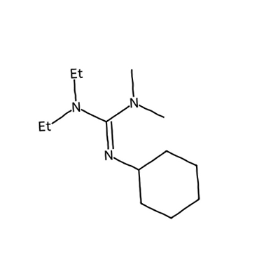 CCN(CC)C(=NC1CCCCC1)N(C)C